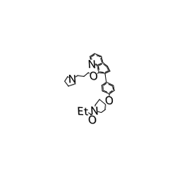 CCC(=O)N1CCC(Oc2ccc(-c3ccc4cccnc4c3OCCCN3CCCC3)cc2)CC1